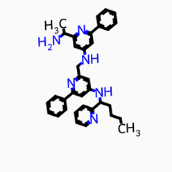 CCCCC(Nc1cc(CNc2cc(-c3ccccc3)nc(C(C)N)c2)nc(-c2ccccc2)c1)c1ccccn1